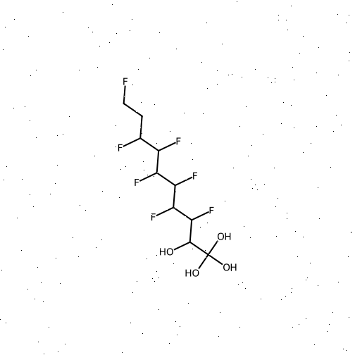 OC(C(F)C(F)C(F)C(F)C(F)C(F)CCF)C(O)(O)O